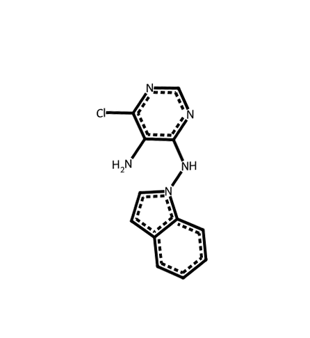 Nc1c(Cl)ncnc1Nn1ccc2ccccc21